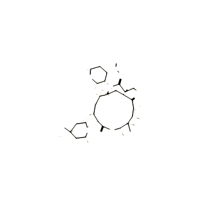 CCOC(=O)CCC(=O)O[C@H]1[C@H](O[C@@H]2[C@@H](C)[C@H](O[C@H]3C[C@@](C)(OC)[C@@H](O)[C@H](C)O3)[C@@H](C)C(=O)O[C@H](CC)[C@@](C)(O)[C@H](O)[C@@H](C)C(=O)[C@H](C)C[C@@]2(C)O)O[C@H](C)C[C@@H]1N(C)C.[AlH3].[Y]